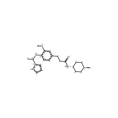 COc1cc(CCC(=O)N[C@H]2CC[C@H](C)CC2)ccc1OC(C)n1cccn1